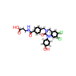 O=C(O)CCNC(=O)c1ccc(CN(Cc2ccc(Cl)c(Cl)c2)C(=O)Nc2ccc(O)cc2)cc1